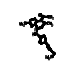 CC(=O)N1c2ccc(C)cc2[C@H](Nc2ccc(C#CCN)cc2)C[C@@H]1C